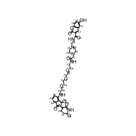 O=C(CN1CCN(CCNC(=O)c2cc3cc(O)ccc3oc2=O)CC1)NCCOCCOCCOCCNc1cccc2c1C(=O)N(C1CCC(=O)NC1=O)C2=O